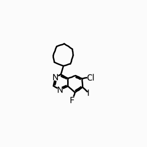 Fc1c(I)c(Cl)cc2c(C3CCCCCCC3)ncnc12